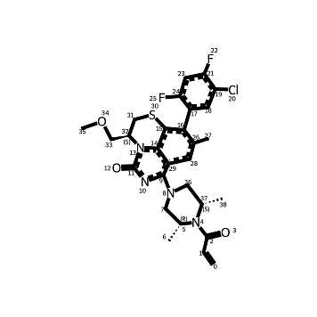 C=CC(=O)N1[C@H](C)CN(c2nc(=O)n3c4c(c(-c5cc(Cl)c(F)cc5F)c(C)cc24)SC[C@@H]3COC)C[C@@H]1C